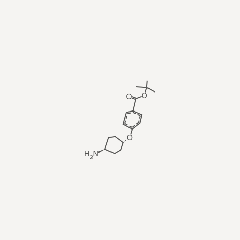 CC(C)(C)OC(=O)c1ccc(O[C@H]2CC[C@H](N)CC2)cc1